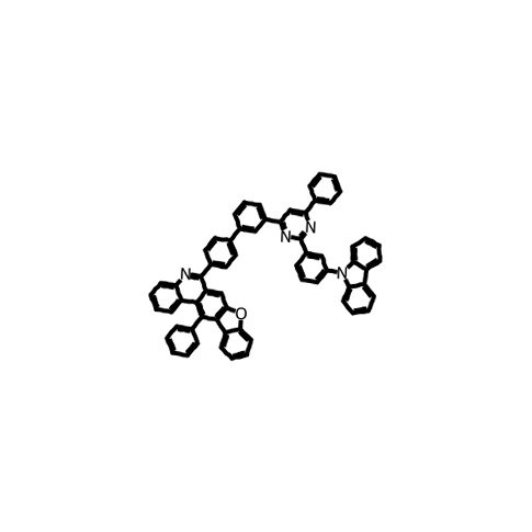 c1ccc(-c2cc(-c3cccc(-c4ccc(-c5nc6ccccc6c6c(-c7ccccc7)c7c(cc56)oc5ccccc57)cc4)c3)nc(-c3cccc(-n4c5ccccc5c5ccccc54)c3)n2)cc1